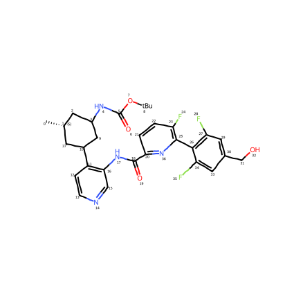 C[C@@H]1CC(NC(=O)OC(C)(C)C)CC(c2ccncc2NC(=O)c2ccc(F)c(-c3c(F)cc(CO)cc3F)n2)C1